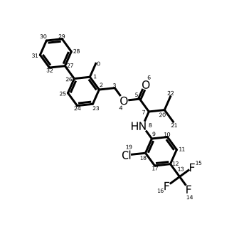 Cc1c(COC(=O)C(Nc2ccc(C(F)(F)F)cc2Cl)C(C)C)cccc1-c1ccccc1